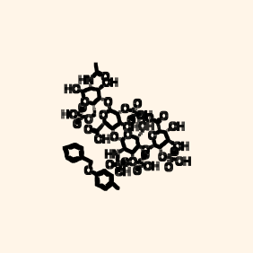 CC(=O)N[C@@H]1[C@@H](O)[C@H](O[C@@H]2O[C@H](C(=O)O)[C@@H](O[C@@H]3O[C@H](CO)[C@@H](O[C@H]4O[C@@H](C(=O)O)[C@H](O)[C@@H](O)[C@@H]4OS(=O)(=O)O)[C@H](OS(=O)(=O)O)[C@H]3NS(=O)(=O)O)[C@H](O)[C@H]2OS(=O)(=O)O)[C@H](COS(=O)(=O)O)O[C@H]1O.Cc1ccc(OCc2ccccc2)cc1